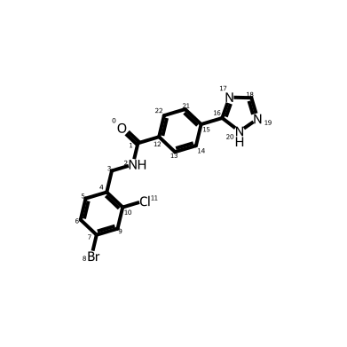 O=C(NCc1ccc(Br)cc1Cl)c1ccc(-c2ncn[nH]2)cc1